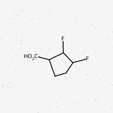 O=C(O)C1CCC(F)C1F